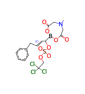 CN1CC(=O)OB(C(/C=C/Cc2ccccc2)OS(=O)(=O)OCC(Cl)(Cl)Cl)OC(=O)C1